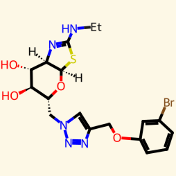 CCNC1=N[C@@H]2[C@@H](O)[C@H](O)[C@@H](Cn3cc(COc4cccc(Br)c4)nn3)O[C@@H]2S1